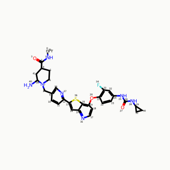 CCCNC(=O)C1CCN(Cc2ccc(-c3cc4nccc(Oc5ccc(NC(=O)NC6CC6)cc5F)c4s3)nc2)C(N)C1